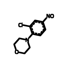 O=Nc1ccc(N2CCOCC2)c(Cl)c1